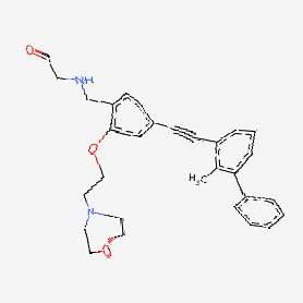 Cc1c(C#Cc2ccc(CNCC=O)c(OCCN3CCOCC3)c2)cccc1-c1ccccc1